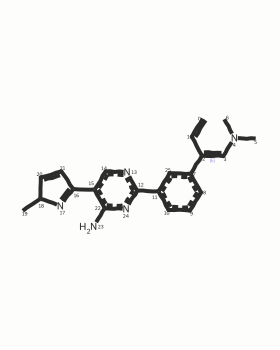 C=C/C(=C\N(C)C)c1cccc(-c2ncc(C3=NC(C)C=C3)c(N)n2)c1